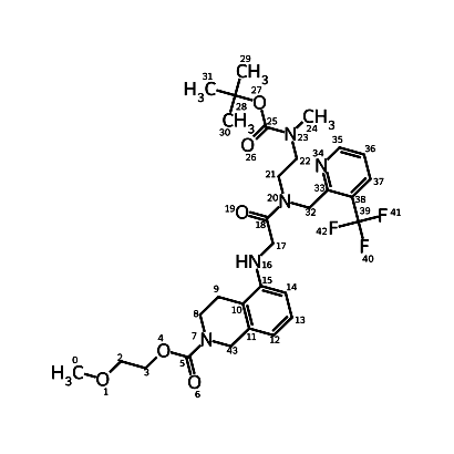 COCCOC(=O)N1CCc2c(cccc2NCC(=O)N(CCN(C)C(=O)OC(C)(C)C)Cc2ncccc2C(F)(F)F)C1